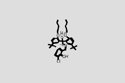 CCCCOc1ccc(C(C)(C)C)cc1C(O)(c1cc(C(C)(C)C)ccc1OCCCC)[C@@H](C)N=Cc1cccc(Cl)c1O